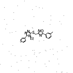 CCn1c(SCc2noc(-c3cccc(C)c3)n2)nnc1-c1ccsc1